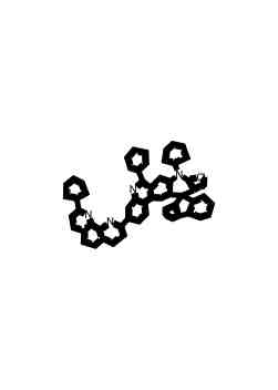 c1ccc(-c2ccc3ccc4ccc(-c5ccc6c(c5)nc(-c5ccccc5)c5cc7c(cc56)C5(c6ccccc6-c6ccccc65)c5ccccc5N7c5ccccc5)nc4c3n2)cc1